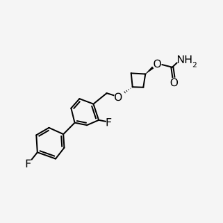 NC(=O)O[C@H]1C[C@H](OCc2ccc(-c3ccc(F)cc3)cc2F)C1